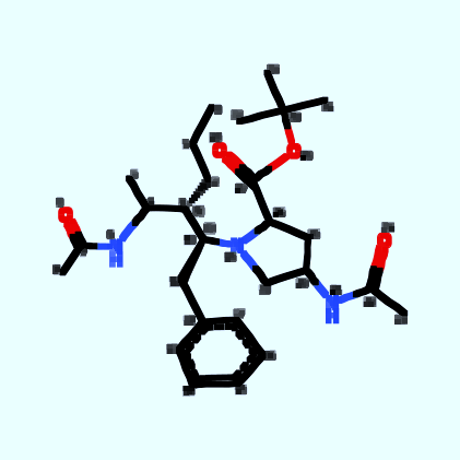 CCC[C@@H](C(C)NC(C)=O)[C@H](Cc1ccccc1)N1CC(NC(C)=O)CC1C(=O)OC(C)(C)C